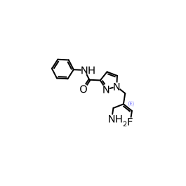 NC/C(=C\F)Cn1ccc(C(=O)Nc2ccccc2)n1